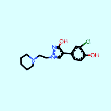 Oc1ccc(-c2cn(CCN3CCCCC3)nc2O)cc1Cl